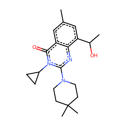 Cc1cc(C(C)O)c2nc(N3CCC(C)(C)CC3)n(C3CC3)c(=O)c2c1